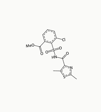 COC(=O)c1cccc(Cl)c1S(=O)(=O)NC(=O)c1nc(C)sc1C